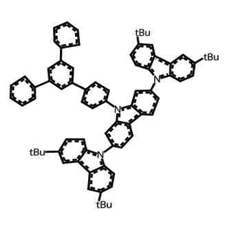 CC(C)(C)c1ccc2c(c1)c1cc(C(C)(C)C)ccc1n2-c1ccc2c3ccc(-n4c5ccc(C(C)(C)C)cc5c5cc(C(C)(C)C)ccc54)cc3n(-c3ccc(-c4cc(-c5ccccc5)cc(-c5ccccc5)c4)cc3)c2c1